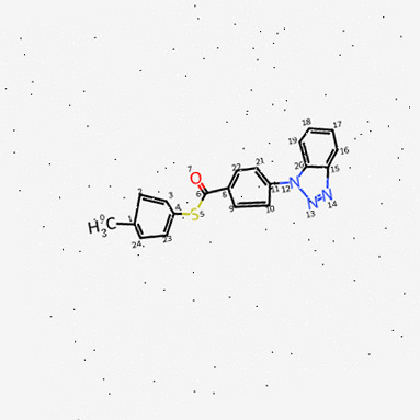 Cc1ccc(SC(=O)c2ccc(-n3nnc4ccccc43)cc2)cc1